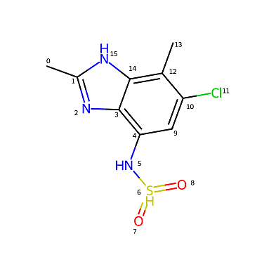 Cc1nc2c(N[SH](=O)=O)cc(Cl)c(C)c2[nH]1